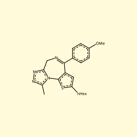 CCCCCCc1cc2c(s1)-n1c(C)nnc1CN=C2c1ccc(OC)cc1